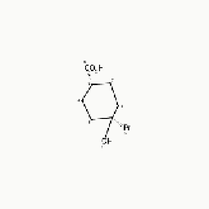 CC(C)[C@]1(O)CC[C@H](C(=O)O)CC1